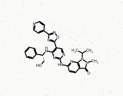 CC(C)n1c2nc(Nc3ncc(-c4nc(-c5ccncc5)no4)c(N[C@H](CO)c4ccccc4)n3)ccc2c(=O)n1C